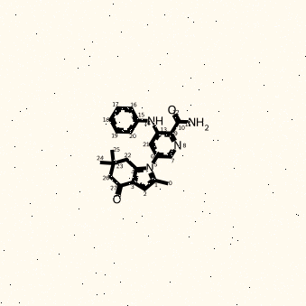 Cc1cc2c(n1-c1cnc(C(N)=O)c(Nc3ccccc3)c1)CC(C)(C)CC2=O